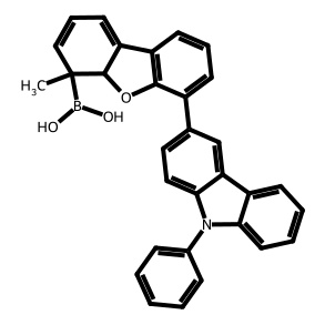 CC1(B(O)O)C=CC=C2c3cccc(-c4ccc5c(c4)c4ccccc4n5-c4ccccc4)c3OC21